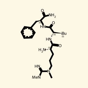 CC[C@H](C)[C@H](NC(=O)[C@@H](N)CCCN(C)C(=N)NC)C(=O)N[C@@H](Cc1ccccc1)C(N)=O